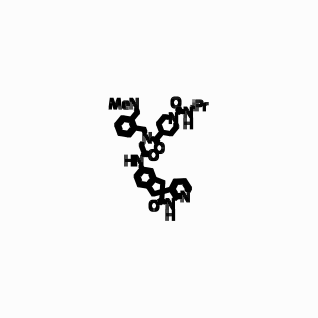 CNCc1ccccc1CN(CC(=O)Nc1ccc2c(c1)CC1(C2)C(=O)Nc2ncccc21)C(=O)C1CCN(C(=O)NC(C)C)CC1